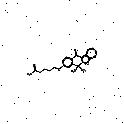 CC1(C)c2cc(OCCCCC(N)=O)ccc2C(=O)c2c1oc1ccccc21